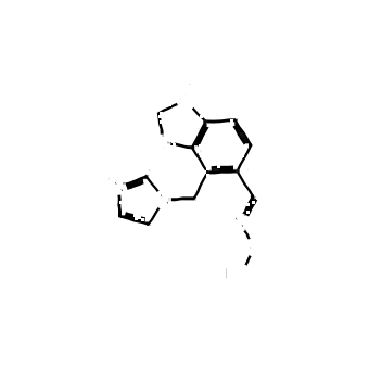 CON=Cc1ccc2c(c1Cn1ccnc1)OCO2